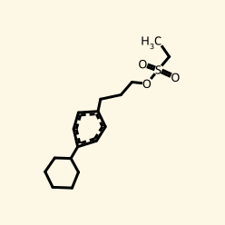 CCS(=O)(=O)OCCCc1ccc(C2CCCCC2)cc1